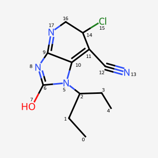 CCC(CC)n1c(O)nc2c1=C(C#N)C(Cl)CN=2